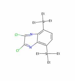 CC[Si](CC)(CC)c1ccc([Si](CC)(CC)CC)c2nc(Cl)c(Cl)nc12